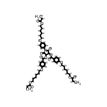 C=CC(=O)OCCCCCCOc1ccc(C(=O)OC2C(=O)N(c3ccc(OCCCCCCOC(=O)C=C)cc3)C(=O)C2OC(=O)c2ccc(OCCCCCCOC(=O)C=C)cc2)cc1